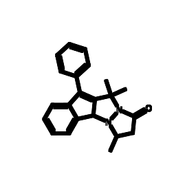 CC1CC(=O)N2N1C1C(=C(c3ccccc3)c3ccccc31)C2(C)C